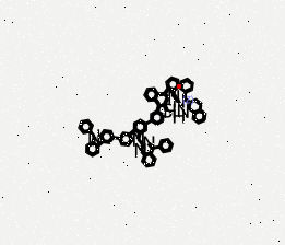 N=C1/C(=C(\Nn2c3ccccc3c3c4ccccc4c4c5cc(-c6ccc7c8cc(-c9ccc%10c(c9)c9ccccc9n%10-c9ccccc9)ccc8n(-c8nc(-c9ccccc9)c9ccccc9n8)c7c6)ccc5sc4c32)C2=CC=C=C=C2)C=Cc2ccccc21